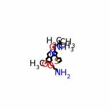 COc1cc2c(cc1OCCCN)-c1c(-c3cccs3)cc(C(=O)NCC(C)(C)C)n1CC2